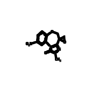 Cn1nc2n(c1=O)-c1cc([N+](=O)[O-])ccc1OCC21CO1